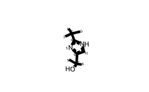 CC(C)(C)c1nc(C(C)(C)O)c[nH]1